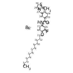 CCCCCCCCCCCCCCOc1ccc(NC(=O)c2cccc(C[n+]3ccsc3C)c2)cc1F.[Br-]